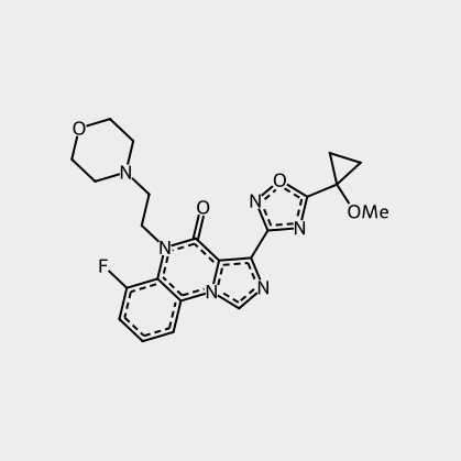 COC1(c2nc(-c3ncn4c3c(=O)n(CCN3CCOCC3)c3c(F)cccc34)no2)CC1